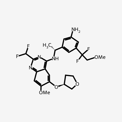 COCC(F)(F)c1cc(N)cc([C@@H](C)Nc2nc(C(F)F)nc3cc(OC)c(O[C@H]4CCOC4)cc23)c1